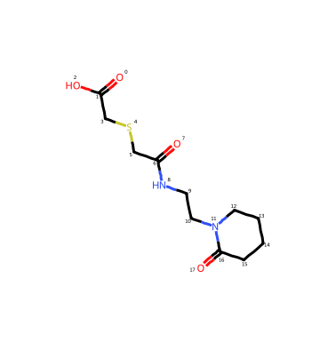 O=C(O)CSCC(=O)NCCN1CCCCC1=O